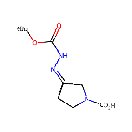 CC(C)(C)OC(=O)NN=C1CCN(C(=O)O)C1